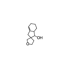 OC1C2CCCC=C2CC12CCOC2